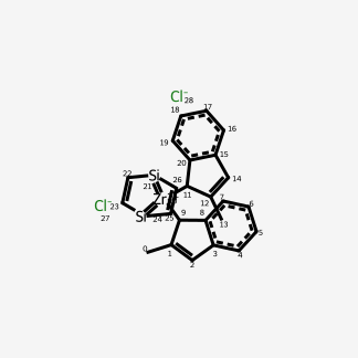 CC1=Cc2ccccc2[CH]1[Zr+2]1([CH]2C(C)=Cc3ccccc32)=[Si]2C=C[Si]=1C=C2.[Cl-].[Cl-]